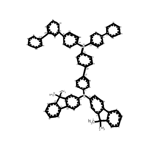 CC1(C)c2ccccc2-c2ccc(N(c3ccc(-c4ccc(N(c5ccc(-c6ccccc6)cc5)c5ccc(-c6cccc(-c7ccccc7)c6)cc5)cc4)cc3)c3ccc4c(c3)C(C)(C)c3ccccc3-4)cc21